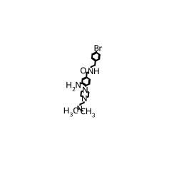 CN(C)CCN1CCN(c2ccc(C(=O)NCCc3ccc(Br)cc3)cc2N)CC1